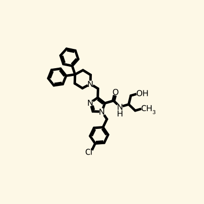 CCC(CO)NC(=O)c1c(CN2CCC(c3ccccc3)(c3ccccc3)CC2)ncn1Cc1ccc(Cl)cc1